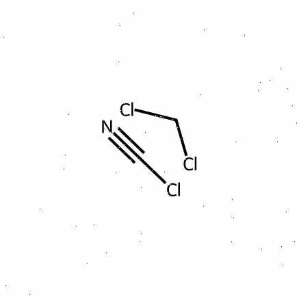 ClCCl.N#CCl